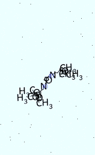 CCO[Si](C)(C)CCC/N=C/c1ccc(/C=N/CCC[Si](OCC)(OCC)OCC)o1